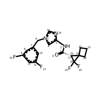 O=C(Nc1cn(Cc2cc(F)cc(F)c2)cn1)[C@H]1C(F)(F)C12CCC2